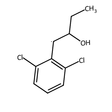 CCC(O)[CH]c1c(Cl)cccc1Cl